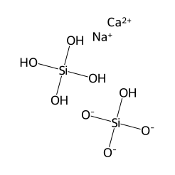 O[Si](O)(O)O.[Ca+2].[Na+].[O-][Si]([O-])([O-])O